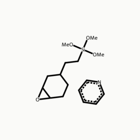 CO[Si](CCC1CCC2OC2C1)(OC)OC.c1ccncc1